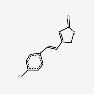 O=C1C=C(/C=C/c2ccc(Br)cc2)CO1